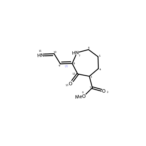 COC(=O)C1CCCN/C(=C\C=N)C1=O